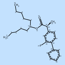 CCCCCN(CCCCC)OC(=O)[C@@H](C)c1ccc(-c2ccccc2)c(F)c1